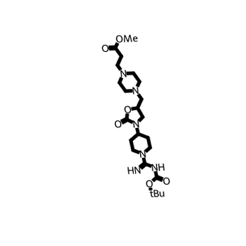 COC(=O)CCN1CCN(CC2CN(C3CCN(C(=N)NC(=O)OC(C)(C)C)CC3)C(=O)O2)CC1